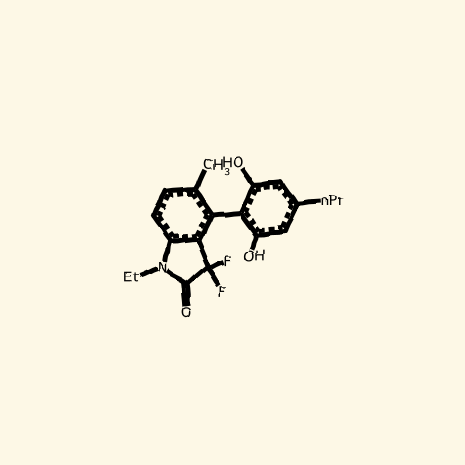 CCCc1cc(O)c(-c2c(C)ccc3c2C(F)(F)C(=O)N3CC)c(O)c1